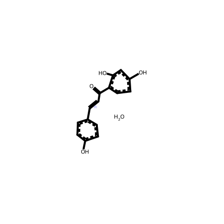 O.O=C(/C=C/c1ccc(O)cc1)c1ccc(O)cc1O